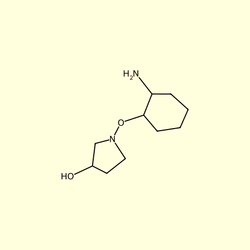 NC1CCCCC1ON1CCC(O)C1